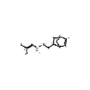 CC(C)=C[SiH2]OCC1CC2C=CC1C2